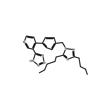 CCCCCc1nc(CCCC)nn1Cc1ccc(-c2ccncc2-c2nnn[nH]2)cc1